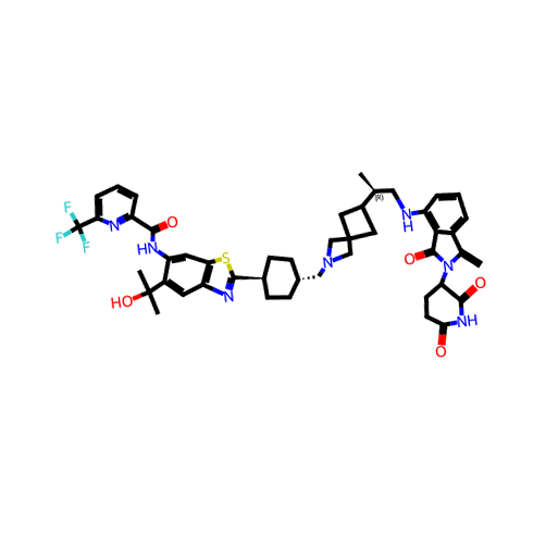 C=C1c2cccc(NC[C@H](C)C3CC4(C3)CN(C[C@H]3CC[C@H](c5nc6cc(C(C)(C)O)c(NC(=O)c7cccc(C(F)(F)F)n7)cc6s5)CC3)C4)c2C(=O)N1C1CCC(=O)NC1=O